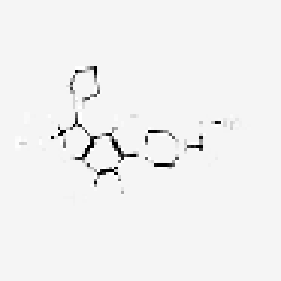 Cc1c(C)c(N2CCN(C(=O)OC(C)(C)C)CC2)c(C)c2c1OC(C)(C)C2N1CCCC1